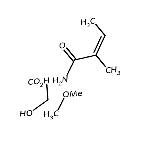 CC=C(C)C(N)=O.COC.O=C(O)CO